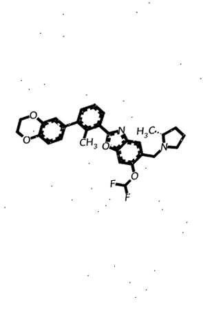 Cc1c(-c2ccc3c(c2)OCCO3)cccc1-c1nc2cc(CN3CCC[C@H]3C)c(OC(F)F)cc2o1